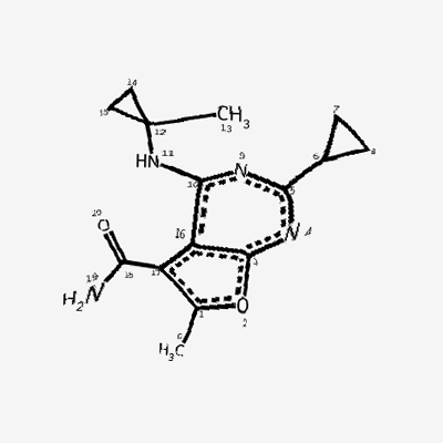 Cc1oc2nc(C3CC3)nc(NC3(C)CC3)c2c1C(N)=O